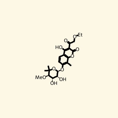 CCOCC(=O)c1c(O)c2ccc(O[C@@H]3OC(C)(C)[C@H](OC)[C@@H](O)[C@H]3O)c(C)c2oc1=O